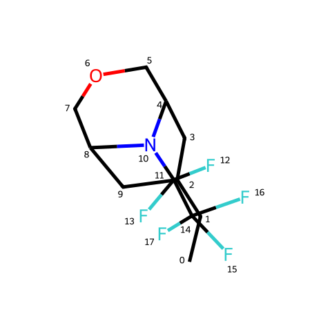 CCC1CC2COCC(C1)N2C(F)(F)C(F)(F)F